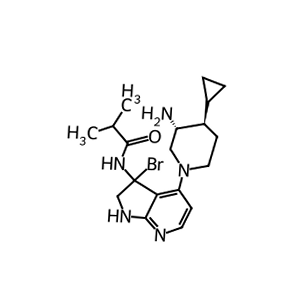 CC(C)C(=O)NC1(Br)CNc2nccc(N3CC[C@H](C4CC4)[C@@H](N)C3)c21